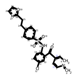 C=N/C=C\C(=C/C)C(=O)c1cc(Cl)ccc1NS(=O)(=O)c1ccc(CCc2ncco2)cc1